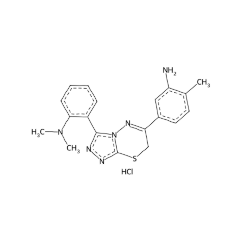 Cc1ccc(C2=Nn3c(nnc3-c3ccccc3N(C)C)SC2)cc1N.Cl